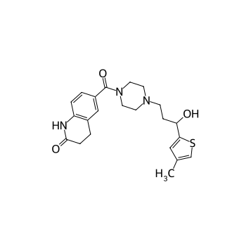 Cc1csc(C(O)CCN2CCN(C(=O)c3ccc4c(c3)CCC(=O)N4)CC2)c1